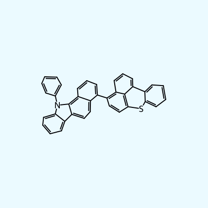 c1ccc(-n2c3ccccc3c3ccc4c(-c5ccc6c7c(cccc57)-c5ccccc5S6)cccc4c32)cc1